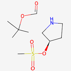 CC(C)(C)OC=O.CS(=O)(=O)O[C@@H]1CCNC1